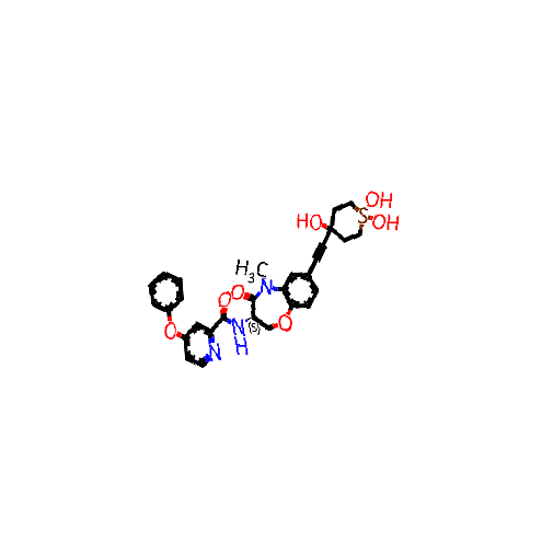 CN1C(=O)[C@@H](NC(=O)c2cc(Oc3ccccc3)ccn2)COc2ccc(C#CC3(O)CCS(O)(O)CC3)cc21